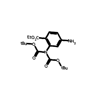 CCOC(=O)c1ccc(N)cc1N(C(=O)OC(C)(C)C)C(=O)OC(C)(C)C